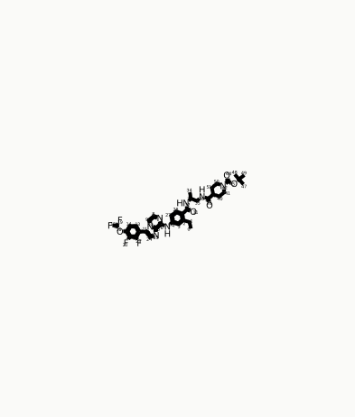 CCc1cc(Nc2nccn3c(-c4ccc(OC(F)F)c(F)c4F)cnc23)ccc1C(=O)NC(C)CNC(=O)C1CCN(C(=O)OC(C)(C)C)CC1